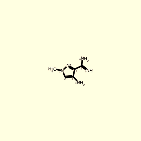 Cn1cc(N)c(C(=N)N)n1